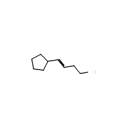 CCCC=CC1CCCC1